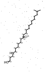 CC(C)CCCCCCCCCCCCCCCCCNCCCO.Cl